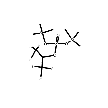 C[Si](C)(C)OP(=O)(OC(C(F)(F)F)C(F)(F)F)O[Si](C)(C)C